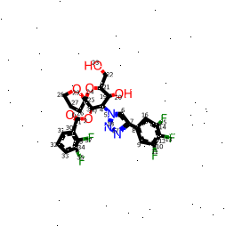 O=C(O[C@@H]1C(n2cc(-c3cc(F)c(F)c(F)c3)nn2)C(O)C(CO)OC12CCCO2)c1cccc(F)c1F